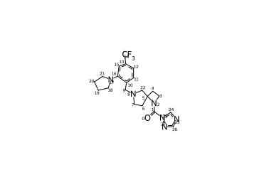 O=C(N1CCC12CCN(Cc1ccc(C(F)(F)F)cc1N1CCCC1)C2)n1cncn1